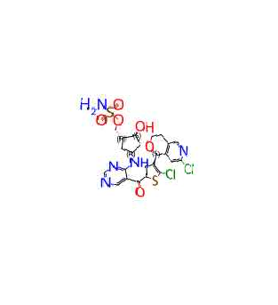 NS(=O)(=O)OC[C@H]1C[C@@H](Nc2ncncc2C(=O)c2cc([C@H]3OCCc4cnc(Cl)cc43)c(Cl)s2)C[C@@H]1O